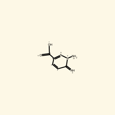 N=c1ccc(C(=O)O)nn1N